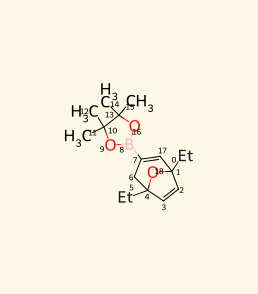 CCC12C=CC(CC)(CC(B3OC(C)(C)C(C)(C)O3)=C1)O2